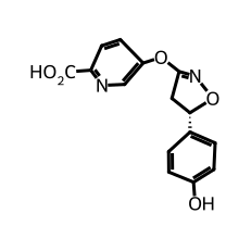 O=C(O)c1ccc(OC2=NO[C@H](c3ccc(O)cc3)C2)cn1